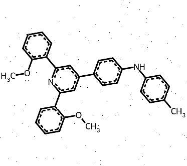 COc1ccccc1-c1cc(-c2ccc(Nc3ccc(C)cc3)cc2)cc(-c2ccccc2OC)n1